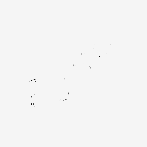 Cc1ccc(NC(=O)NCc2ccc(-c3cccc(C)c3)c3ccncc23)cc1